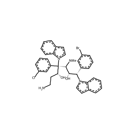 CNC([C@@H](O)[C@H](c1cccc(Br)c1)n1ccc2ccccc21)[C@@](c1cccc(Cl)c1)([C@H](O)CCN)n1ccc2ccccc21